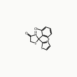 O=C1CSC(c2nccs2)(c2c(F)cccc2Cl)N1